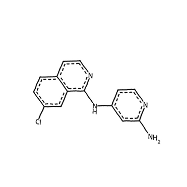 Nc1cc(Nc2nccc3ccc(Cl)cc23)ccn1